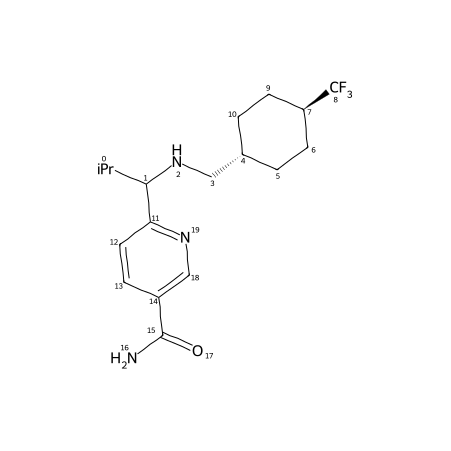 CC(C)C(NC[C@H]1CC[C@H](C(F)(F)F)CC1)c1ccc(C(N)=O)cn1